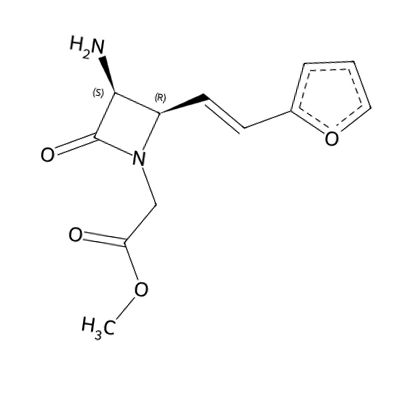 COC(=O)CN1C(=O)[C@@H](N)[C@H]1C=Cc1ccco1